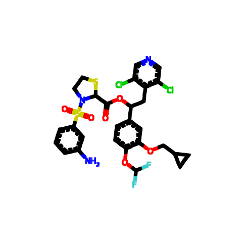 Nc1cccc(S(=O)(=O)N2CCSC2C(=O)OC(Cc2c(Cl)cncc2Cl)c2ccc(OC(F)F)c(OCC3CC3)c2)c1